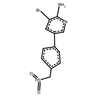 Nc1ncc(-c2ccc(C[SH](=O)=O)cc2)cc1Br